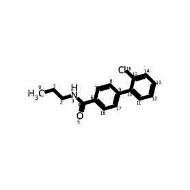 CCCNC(=O)c1ccc(-c2ccccc2Cl)cc1